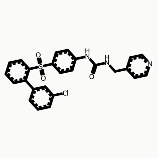 O=C(NCc1ccncc1)Nc1ccc(S(=O)(=O)c2ccccc2-c2cccc(Cl)c2)cc1